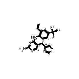 C=Cc1cc(C(F)(F)F)ccc1Nc1nc(N)ncc1Cc1cocn1